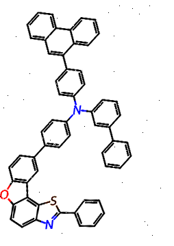 c1ccc(-c2cccc(N(c3ccc(-c4ccc5oc6ccc7nc(-c8ccccc8)sc7c6c5c4)cc3)c3ccc(-c4cc5ccccc5c5ccccc45)cc3)c2)cc1